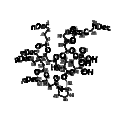 CCCCCCCCCCCCCC(=O)O[C@H](CCCCCCCCCCC)CC(=O)N[C@H]1C(OC(=O)C[C@@H](CCCCCCCCCCC)OC(=O)CCCCCCCCCCCCC)[C@H](OP(=O)(O)O)C(CO)O[C@H]1OC[C@@H]1CCCN1C(=O)C[C@@H](CCCCCCCCCCC)OC(=O)CCCCCCCCCCCCC